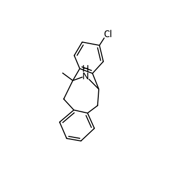 CC12Cc3ccccc3CC(N1)c1cc(Cl)ccc12